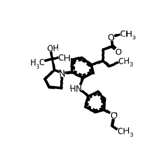 CCOc1ccc(Nc2cc(C(CC)CC(=O)OC)ccc2N2CCCC2C(C)(C)O)cc1